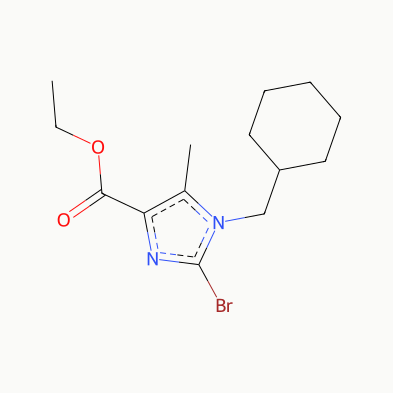 CCOC(=O)c1nc(Br)n(CC2CCCCC2)c1C